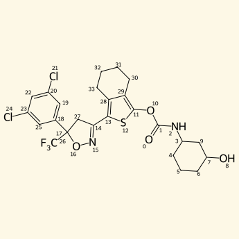 O=C(NC1CCCC(O)C1)Oc1sc(C2=NOC(c3cc(Cl)cc(Cl)c3)(C(F)(F)F)C2)c2c1CCCC2